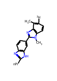 [2H]c1ccc2c(nc(-c3ccc4nc(CCC)[nH]c4c3)n2C)c1C